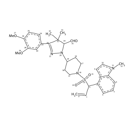 C=CC(c1cccc2c1ccn2C)S(=O)(=O)N1CCC(N2N=C(c3ccc(OC)c(OC)c3)C(C)(C)C2C=O)CC1